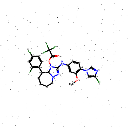 COc1cc(NC2=NN3CCCCC(c4ccc(F)cc4F)C3N2OC(=O)C(F)(F)F)ccc1-n1cnc(Cl)c1